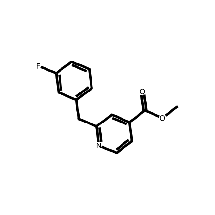 COC(=O)c1ccnc(Cc2cccc(F)c2)c1